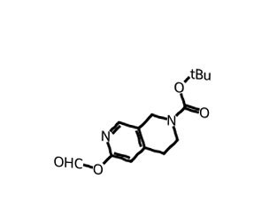 CC(C)(C)OC(=O)N1CCc2cc(OC=O)ncc2C1